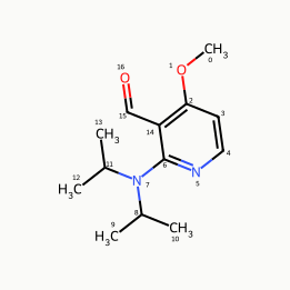 COc1ccnc(N(C(C)C)C(C)C)c1C=O